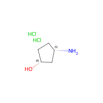 Cl.Cl.N[C@H]1CC[C@@H](O)C1